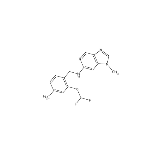 Cc1ccc(CNc2cc3c(cn2)ncn3C)c(OC(F)F)c1